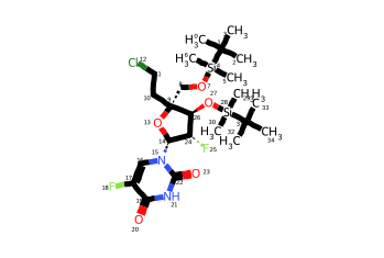 CC(C)(C)[Si](C)(C)OC[C@@]1(CCCl)O[C@@H](n2cc(F)c(=O)[nH]c2=O)[C@@H](F)[C@@H]1O[Si](C)(C)C(C)(C)C